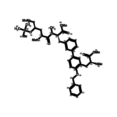 CNC[C@@H](C[C@H](NC)C(=O)N(C)[C@@H](Cc1cccc(-c2ccc(OCc3ccccc3)c(C[C@H](NC)C(=O)OC)c2)c1)C(=O)OC)O[Si](C)(C)C(C)(C)C